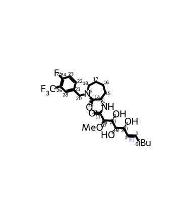 CCC(C)/C=C/[C@@H](O)[C@H](O)[C@@H](O)[C@@H](OC)C(=O)N[C@H]1CCCCN(Cc2ccc(F)c(C(F)(F)F)c2)C1=O